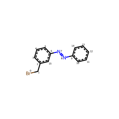 BrCc1cccc(N=Nc2ccccc2)c1